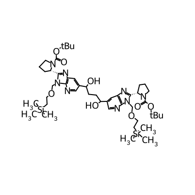 CC(C)(C)OC(=O)N1CCC[C@H]1c1nc2cc(C(O)CCC(O)c3cnc4c(c3)nc([C@@H]3CCCN3C(=O)OC(C)(C)C)n4COCC[Si](C)(C)C)cnc2n1COCC[Si](C)(C)C